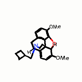 COC1=CC=C2[C@@H]3Cc4ccc(OC)c5c4[C@]2(CCN3CC2CCC2)[C@@H]1O5